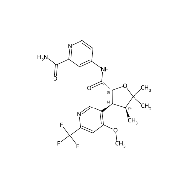 COc1cc(C(F)(F)F)ncc1[C@H]1[C@H](C(=O)Nc2ccnc(C(N)=O)c2)OC(C)(C)[C@H]1C